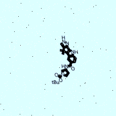 CC(C)(C)OC(=O)N1CCC(NC(=O)c2ccc3[nH]c4c(c3c2)C(C)(C)c2c[nH]nc2-4)C1